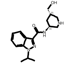 CC(C)n1nc(C(=O)N[C@@H]2CNC[C@@H](CO)C2)c2ccccc21